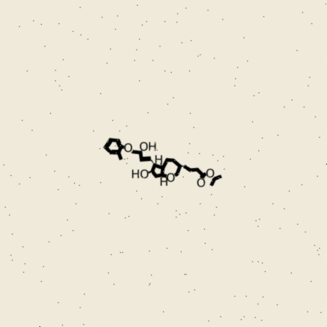 Cc1ccccc1OC[C@H](O)C=C[C@@H]1[C@H]2CC[C@H](CCCC(=O)OC(C)C)CO[C@H]2C[C@H]1O